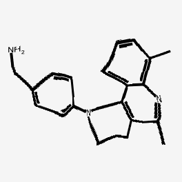 Cc1nc2c(C)cccc2c2c1CCN2c1ccc(CN)cc1